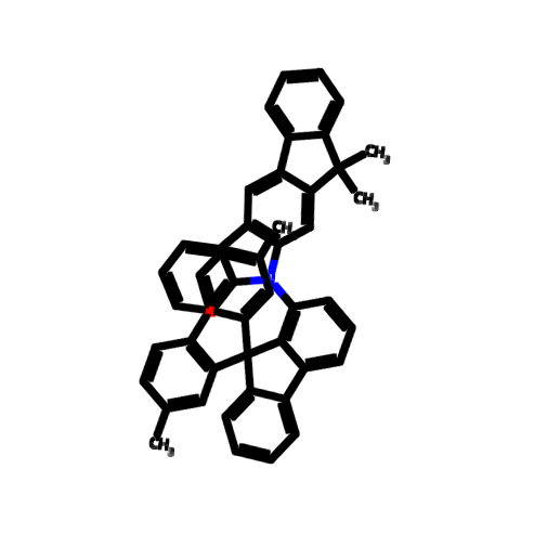 Cc1ccc2c(c1)C1(c3cc(C)ccc3-2)c2ccccc2-c2cccc(-n3c4ccccc4c4cc5c(cc43)C(C)(C)c3ccccc3-5)c21